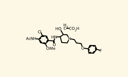 CC(=O)O.COc1cc(NC(C)=O)c(Cl)cc1C(=O)NC1CCN(CCCOc2ccc(F)cc2)CC1O